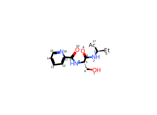 CC[C@@H](NC(=O)[C@H](CO)NC(=O)c1ccccn1)C(C)=O